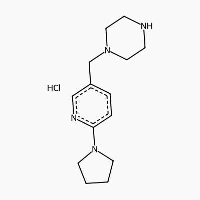 Cl.c1cc(N2CCCC2)ncc1CN1CCNCC1